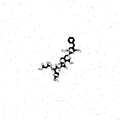 CC(CC(=O)O)O/N=C(\C(=O)NC1C(=O)N2C(C(=O)O)=C(CSC3=NC(N)=C(Cc4ccccc4)CN3C)CS[C@@H]12)c1csc(N)n1